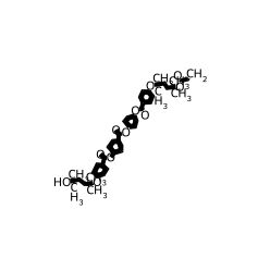 C=CC(=O)OC(C)(C)CCC(C)(C)Oc1ccc(C(=O)Oc2ccc(OC(=O)c3ccc(OC(=O)c4ccc(OC(C)(C)CCC(C)(C)O)cc4)cc3)cc2)cc1